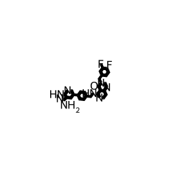 Nc1n[nH]c2ncc(-c3ccc(CNc4nccc5ncn(Cc6ccc(F)c(F)c6)c(=O)c45)cc3)cc12